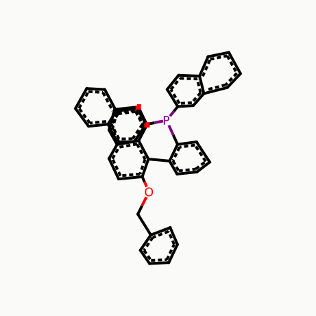 c1ccc(COc2ccc3ccccc3c2-c2ccccc2P(c2ccc3ccccc3c2)c2ccc3ccccc3c2)cc1